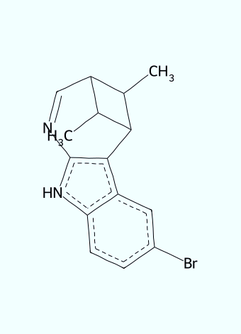 CC1C2C=Nc3[nH]c4ccc(Br)cc4c3C1C2C